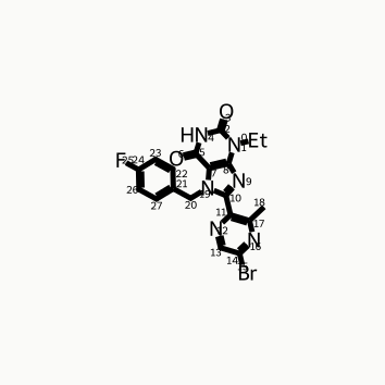 CCn1c(=O)[nH]c(=O)c2c1nc(-c1ncc(Br)nc1C)n2Cc1ccc(F)cc1